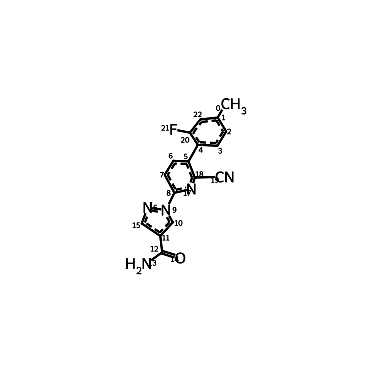 Cc1ccc(-c2ccc(-n3cc(C(N)=O)cn3)nc2C#N)c(F)c1